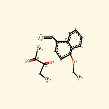 C=Cc1ccc(OCC)c2ccccc12.CCC(=O)C(C)=O